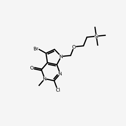 Cn1c(Cl)nc2c(c(Br)cn2COCC[Si](C)(C)C)c1=O